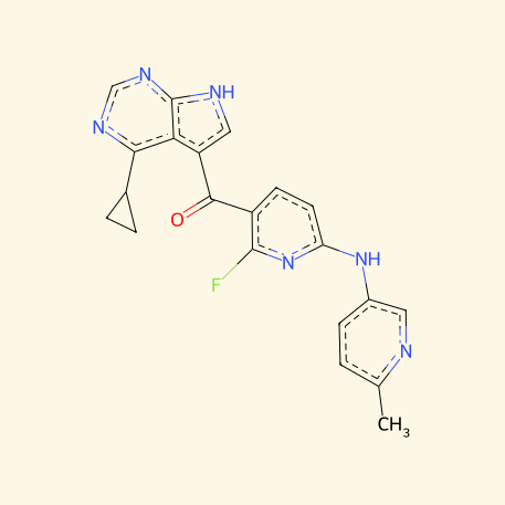 Cc1ccc(Nc2ccc(C(=O)c3c[nH]c4ncnc(C5CC5)c34)c(F)n2)cn1